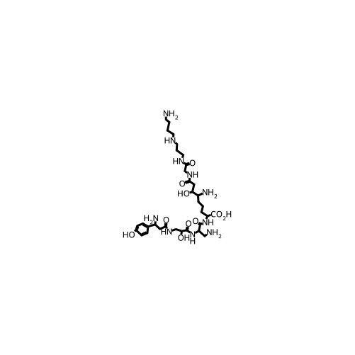 NCCCCNCCCNC(=O)CNC(=O)CC(O)C(N)CCCC(NC(=O)C(CN)NC(=O)C(O)CNC(=O)CC(N)c1ccc(O)cc1)C(=O)O